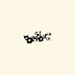 CN(CC#N)[C@H]1CC[C@H]2[C@@H]1NC(=O)N2c1nc2c3c(ccc2s1)OCC3